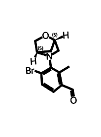 Cc1c(C=O)ccc(Br)c1N1C[C@@H]2C[C@H]1CO2